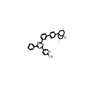 C[C@@H]1C[C@@H]2C[C@H](C)CC(c3ccc(-c4cccc(-c5nc(-c6ccccc6)nc(-c6ccc(C#N)nc6)n5)c4)cc3)(C1)C2